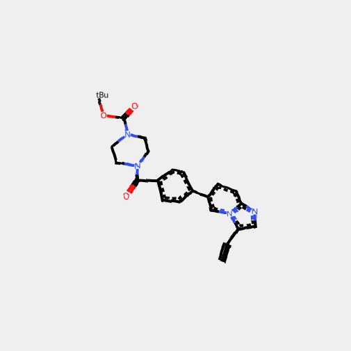 C#Cc1cnc2ccc(-c3ccc(C(=O)N4CCN(C(=O)OC(C)(C)C)CC4)cc3)cn12